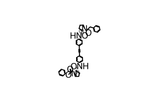 O=C(Nc1ccc(C#Cc2ccc(NC(=O)[C@@H]3CCCN3C(=O)Oc3ccccc3)cc2)cc1)[C@@H]1CCCN1C(=O)Cc1ccccc1